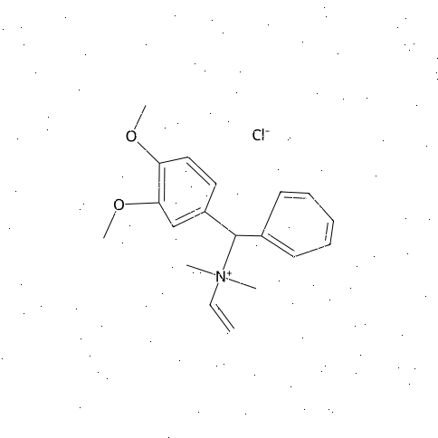 C=C[N+](C)(C)C(c1ccccc1)c1ccc(OC)c(OC)c1.[Cl-]